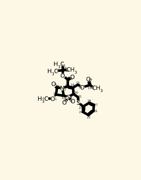 CO[C@H]1C(=O)N2C(C(=O)OC(C)(C)C)=C(COC(C)=O)C(CSc3ccccc3)S(=O)(=O)C12